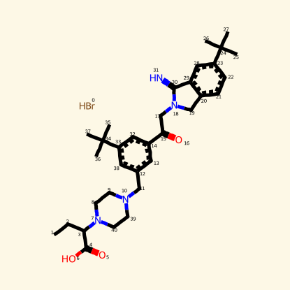 Br.CCC(C(=O)O)N1CCN(Cc2cc(C(=O)CN3Cc4ccc(C(C)(C)C)cc4C3=N)cc(C(C)(C)C)c2)CC1